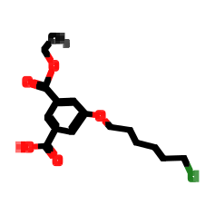 CCOC(=O)c1cc(OCCCCCCCl)cc(C(=O)O)c1